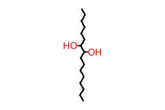 CCCCCCCCC(O)C(O)CCCCCC